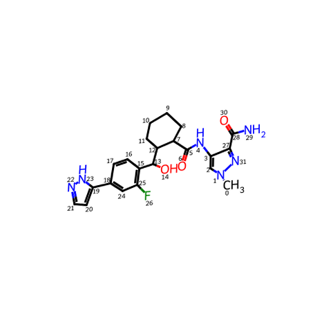 Cn1cc(NC(=O)C2CCCCC2C(O)c2ccc(-c3ccn[nH]3)cc2F)c(C(N)=O)n1